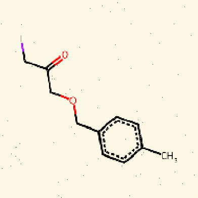 Cc1ccc(COCC(=O)CI)cc1